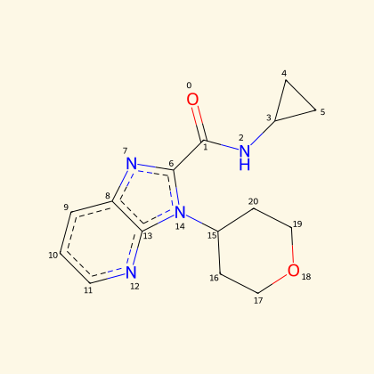 O=C(NC1CC1)c1nc2cccnc2n1C1CCOCC1